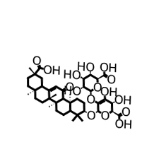 CC1(C)C2CC[C@]3(C)C(C(=O)C=C4C5C[C@@](C)(C(=O)O)CC[C@]5(C)CC[C@]43C)[C@@]2(C)CC[C@@H]1O[C@H]1O[C@H](C(=O)O)[C@@H](O)C(O)=C1O[C@@H]1O[C@H](C(=O)O)[C@@H](O)[C@H](O)[C@H]1O